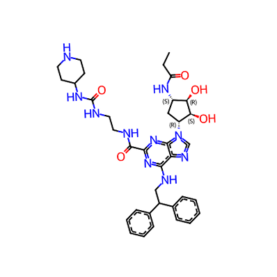 CCC(=O)N[C@H]1C[C@@H](n2cnc3c(NCC(c4ccccc4)c4ccccc4)nc(C(=O)NCCNC(=O)NC4CCNCC4)nc32)[C@H](O)[C@@H]1O